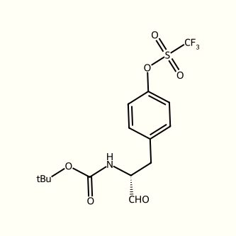 CC(C)(C)OC(=O)N[C@@H](C=O)Cc1ccc(OS(=O)(=O)C(F)(F)F)cc1